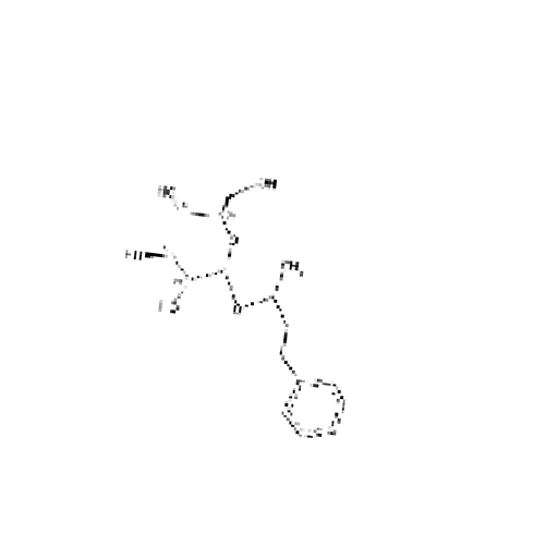 CC(CCc1ccccc1)OC1O[C@H](CO)[C@@H](O)[C@H](O)[C@H]1O